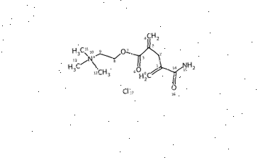 C=C(CC(=C)C(=O)OCC[N+](C)(C)C)C(N)=O.[Cl-]